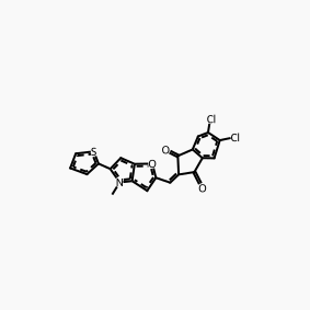 Cn1c(-c2cccs2)cc2oc(C=C3C(=O)c4cc(Cl)c(Cl)cc4C3=O)cc21